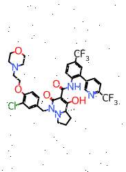 C[C@]12CCCN1N(Cc1ccc(OCCN3CCOCC3)c(Cl)c1)C(=O)C(C(=O)Nc1ccc(C(F)(F)F)cc1-c1ccc(C(F)(F)F)nc1)=C2O